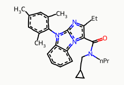 CCCN(CC1CC1)C(=O)c1c(CC)nc2n(-c3c(C)cc(C)cc3C)c3ccccc3n12